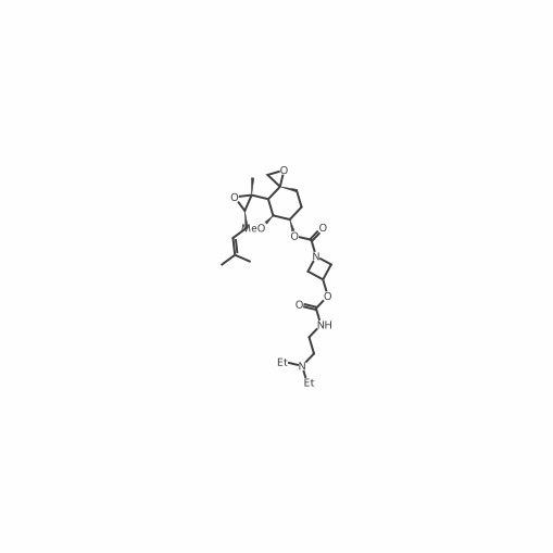 CCN(CC)CCNC(=O)OC1CN(C(=O)O[C@@H]2CC[C@]3(CO3)C([C@@]3(C)O[C@@H]3CC=C(C)C)[C@@H]2OC)C1